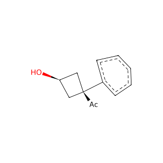 CC(=O)[C@]1(c2ccccc2)C[C@H](O)C1